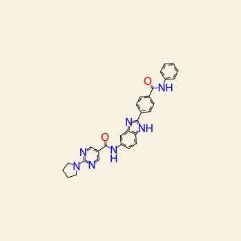 O=C(Nc1ccccc1)c1ccc(-c2nc3cc(NC(=O)c4cnc(N5CCCC5)nc4)ccc3[nH]2)cc1